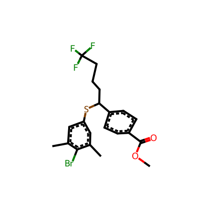 COC(=O)c1ccc(C(CCCC(F)(F)F)Sc2cc(C)c(Br)c(C)c2)cc1